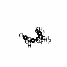 COc1ccc2c(c1)/C(=C/C(=O)c1ccc(NS(=O)(=O)c3ccc(Cl)cc3)cc1)NC(C)(C)C2